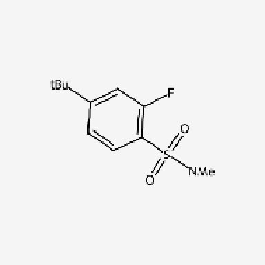 CNS(=O)(=O)c1ccc(C(C)(C)C)cc1F